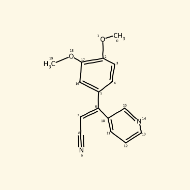 COc1ccc(C(=CC#N)c2cccnc2)cc1OC